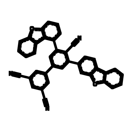 N#Cc1cc(C#N)cc(-c2cc(-c3ccc4c(c3)oc3ccccc34)c(C#N)c(-c3cccc4oc5ccccc5c34)c2)c1